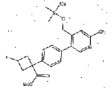 COC(=O)C1(c2ccc(-c3cnc(C(F)(F)F)cc3CO[Si](C)(C)C(C)(C)C)cc2)CC(F)C1